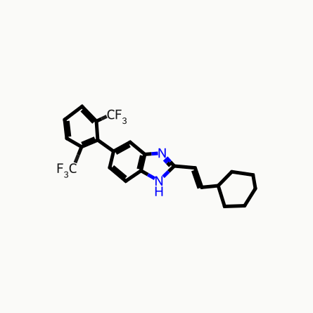 FC(F)(F)c1cccc(C(F)(F)F)c1-c1ccc2[nH]c(/C=C/C3CCCCC3)nc2c1